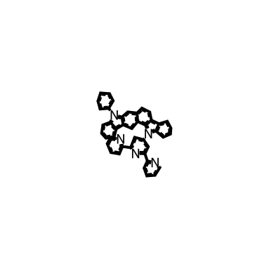 c1ccc(-n2c3ccccc3c3cc4c(ccc5c6ccccc6n(-c6cc(-c7ccccn7)nc(-c7ccccn7)c6)c45)cc32)cc1